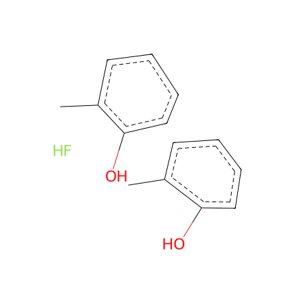 Cc1ccccc1O.Cc1ccccc1O.F